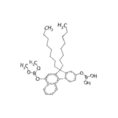 CCCCCCCCC1(CCCCCCCC)c2cc(OB(O)O)ccc2-c2c1cc(OB(OC)OC)c1ccccc21